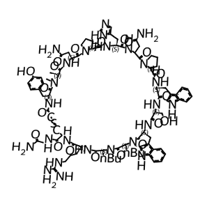 CCCC[C@H]1C(=O)N(C)[C@@H](CCCC)C(=O)N[C@@H](CCCNC(=N)N)C(=O)NC(C(=O)NCC(N)=O)CSCC(=O)N[C@@H](Cc2ccc(O)cc2)C(=O)N(C)[C@@H](C)C(=O)N[C@@H](CC(N)=O)C(=O)N2CCC[C@H]2C(=O)N[C@@H](Cc2cnc[nH]2)C(=O)NC(CC(N)=O)C(=O)N2CCC[C@H]2C(=O)N[C@@H](Cc2c[nH]c3ccccc23)C(=O)N[C@@H](CO)C(=O)N[C@@H](Cc2c[nH]c3ccccc23)C(=O)N1C